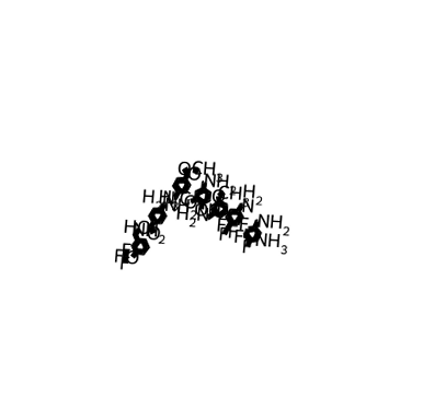 COC(=O)c1ccc(CN)cc1.COc1cc(CN)ccc1O.COc1cccc(CN)c1.N.NCc1ccc(C(=O)O)cc1.NCc1ccc(C(F)(F)F)cc1.NCc1ccc(F)c(F)c1F.NCc1cccc(OC(F)(F)F)c1